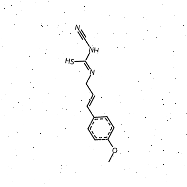 COc1ccc(C=CCN=C(S)NC#N)cc1